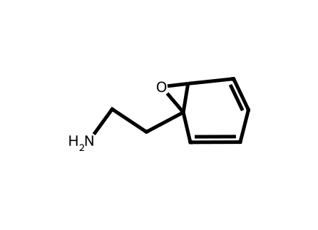 NCCC12C=CC=CC1O2